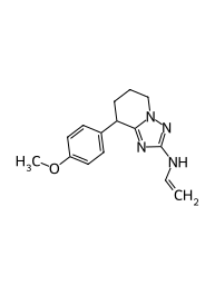 C=CNc1nc2n(n1)CCCC2c1ccc(OC)cc1